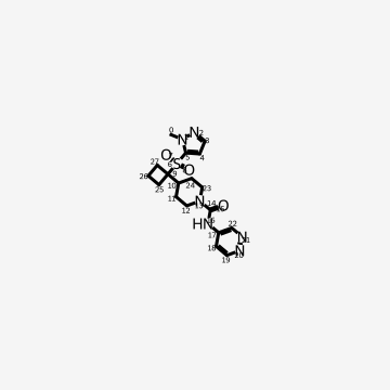 Cn1nccc1S(=O)(=O)C1(C2CCN(C(=O)Nc3ccnnc3)CC2)CCC1